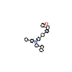 c1ccc(-c2ccc(N(c3ccc(-c4ccc(-c5ccc6ccc7oc8ccccc8c7c6c5)cc4)cc3)c3cccc(-c4cccc5ccccc45)c3)cc2)cc1